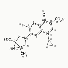 CC12CN(c3cc4c(cc3F)c(=O)c(C(=O)O)cn4C3CC3)CC1(C)N2